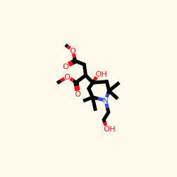 COC(=O)CC(C(=O)OC)C1(O)CC(C)(C)N(CCO)C(C)(C)C1